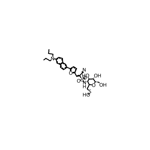 CCCN(CCC)c1ccc2cc(-c3ccc(/C=C(\C#N)S(=O)(=O)N[C@H]4C(CSO)O[C@H](CO)[C@@H](O)[C@@H]4O)o3)ccc2c1